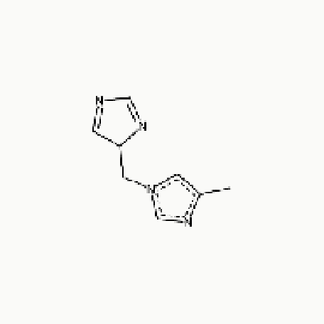 Cc1cn(CC2C=NC=N2)cn1